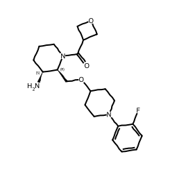 N[C@H]1CCCN(C(=O)C2COC2)[C@H]1COC1CCN(c2ccccc2F)CC1